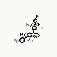 CC(C)c1ccc(C(C)(C)c2ccc(C(c3ccc(C(C)(C)c4ccc(C(C)C)cc4)cc3)C3CCCN3)cc2)cc1